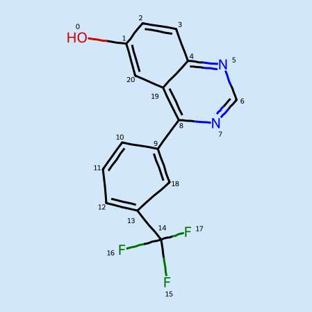 Oc1ccc2ncnc(-c3cccc(C(F)(F)F)c3)c2c1